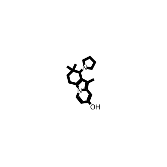 Cc1c2c(n3ccc(O)cc13)CCC(C)(C)C2N1CCCC1